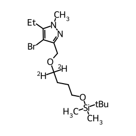 [2H]C([2H])(CCCO[Si](C)(C)C(C)(C)C)OCc1nn(C)c(CC)c1Br